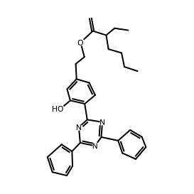 C=C(OCCc1ccc(-c2nc(-c3ccccc3)nc(-c3ccccc3)n2)c(O)c1)C(CC)CCCC